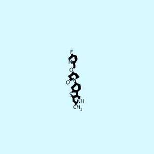 CC1Cc2sc3cc(-n4ccc(OCc5ccc(F)cn5)cc4=O)ccc3c2CN1